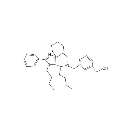 CCCCC(c1cnc(-c2ccccc2)n1CCCC)N(Cc1cccc(CO)c1)CC1CCCCC1